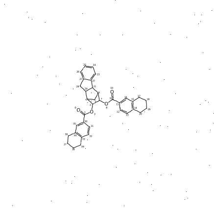 O=C(OC1C2CC(C1OC(=O)c1ccc3c(c1)CCCC3)C1c3ccccc3CC21)c1ccc2c(c1)CCCC2